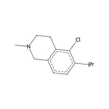 CC(C)c1ccc2c(c1Cl)CCN(C)C2